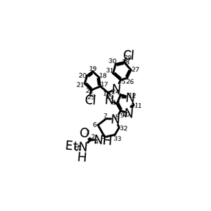 CCNC(=O)NC1CCN(c2ncnc3c2nc(-c2ccccc2Cl)n3-c2ccc(Cl)cc2)CC1